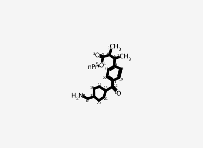 CCCOC(=O)C(C)C(C)c1ccc(C(=O)C2CCC(CN)CC2)cc1